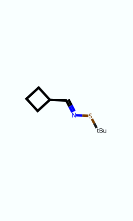 CC(C)(C)SN=CC1CCC1